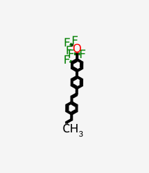 CCCc1ccc(/C=C/c2ccc(-c3ccc(C(F)(F)OC(F)(F)F)c(F)c3)cc2)cc1